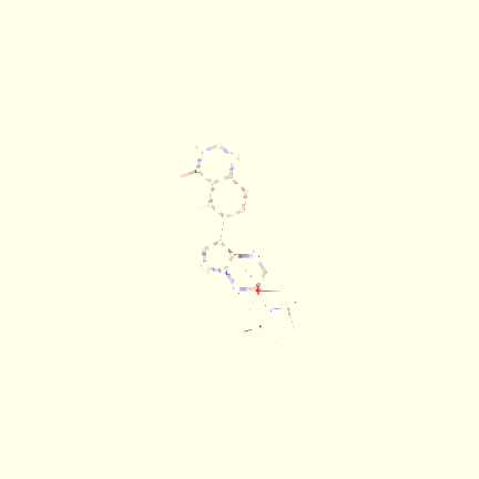 Cn1cnc2ccc(-c3c[nH]c4nc(N5[C@@H]6CC[C@H]5C[C@@H](N)C6)cnc34)c(Cl)c2c1=O